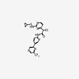 CCC(C(=O)Nc1ccc(-c2cncc(C(F)(F)F)n2)cn1)c1ccnc(NSC2CC2)n1